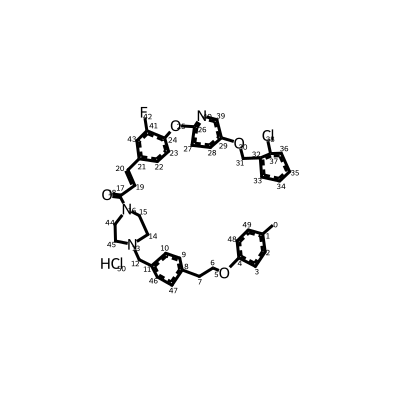 Cc1ccc(OCCc2ccc(CN3CCN(C(=O)C=Cc4ccc(Oc5ccc(OCc6ccccc6Cl)cn5)c(F)c4)CC3)cc2)cc1.Cl